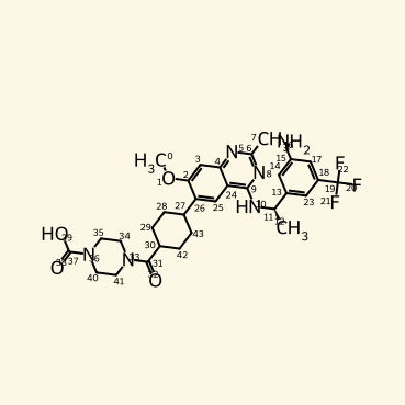 COc1cc2nc(C)nc(N[C@H](C)c3cc(N)cc(C(F)(F)F)c3)c2cc1C1CCC(C(=O)N2CCN(C(=O)O)CC2)CC1